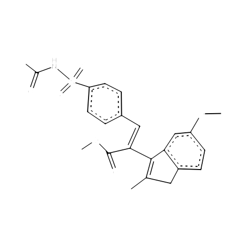 COC(=O)C(=Cc1ccc(S(=O)(=O)NC(C)=O)cc1)C1=C(C)Cc2ccc(OC)cc21